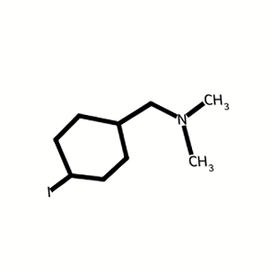 CN(C)CC1CCC(I)CC1